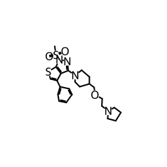 CS(=O)(=O)n1nc(N2CCC(COCCN3CCCC3)CC2)c2c(-c3ccccc3)csc21